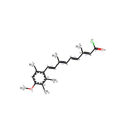 COc1cc(C)c(/C=C/C(C)=C/C=C/C(C)=C/C(=O)Cl)c(C)c1C